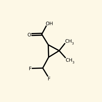 CC1(C)C(C(=O)O)C1C(F)F